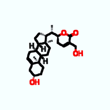 C[C@H]([C@@H]1CC=C(CO)C(=O)O1)[C@H]1CC[C@H]2[C@@H]3CC=C4C[C@@H](O)CC[C@]4(C)[C@H]3CC[C@]12C